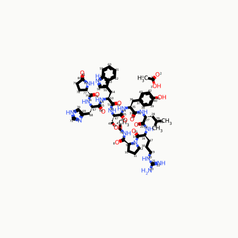 CC(=O)O.CCNC(=O)[C@@H]1CCCN1C(=O)[C@H](CCCNC(=N)N)NC(=O)[C@@H](CC(C)C)NC(=O)[C@H](Cc1ccc(O)cc1)NC(=O)[C@H](CO)NC(=O)[C@H](Cc1c[nH]c2ccccc12)NC(=O)[C@H](Cc1c[nH]cn1)NC(=O)[C@@H]1CCC(=O)N1